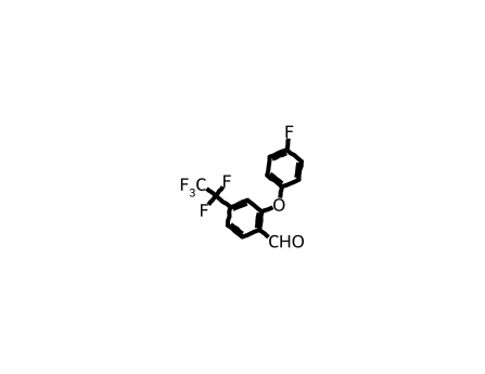 O=Cc1ccc(C(F)(F)C(F)(F)F)cc1Oc1ccc(F)cc1